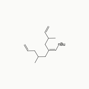 C=CCC(C)CC(=CCCCC)CC(C)C=C